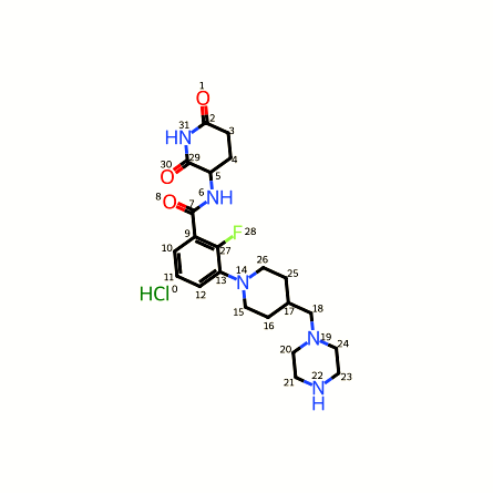 Cl.O=C1CCC(NC(=O)c2cccc(N3CCC(CN4CCNCC4)CC3)c2F)C(=O)N1